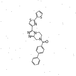 O=C(c1ccc(-c2ccccc2)cc1)N1CCn2c(nnc2-c2csc(-c3cccs3)n2)C1